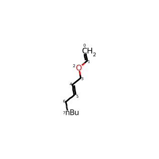 C=COCC=CCCCCC